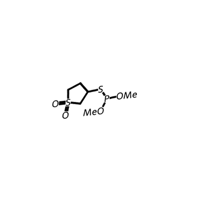 COP(OC)SC1CCS(=O)(=O)C1